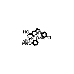 CCCCc1nc(O)c(Cc2ccn(-c3ccc(Cl)cc3)n2)c(=O)n1-c1c(OC)cccc1OC